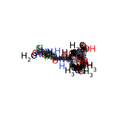 C=CC(=O)Nc1cc(Cl)cc(NC(=O)c2cnn(-c3ccc(C(=O)NCCNC(=O)CCC[C@@H]4/C=C(\C)C[C@H](C)C[C@H](OC)[C@H]5O[C@@](O)(C(=O)C(=O)N6CCCC7/C(=C\[C@@H]8CC[C@@H](O)[C@H](OC)C8)[C@@H](OC(=O)[C@H]76)[C@H](C)[C@@H](O)CC4)[C@H](C)C[C@@H]5OC)cc3)c2C(F)(F)F)c1